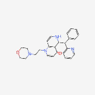 O=c1ccn(CCN2CCOCC2)c2c1C(C(c1ccccc1)c1ccccn1)NC=C2